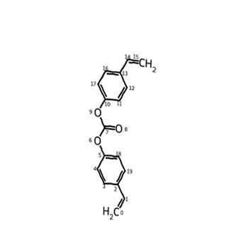 C=Cc1ccc(OC(=O)Oc2ccc(C=C)cc2)cc1